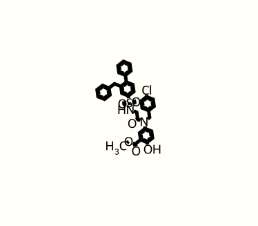 COC(=O)c1cc(N(Cc2ccc(Cl)cc2)C(=O)CNS(=O)(=O)c2ccc(-c3ccccc3)c(Cc3ccccc3)c2)ccc1O